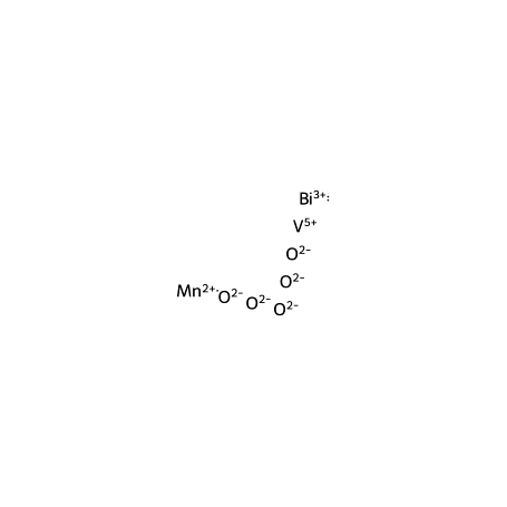 [Bi+3].[Mn+2].[O-2].[O-2].[O-2].[O-2].[O-2].[V+5]